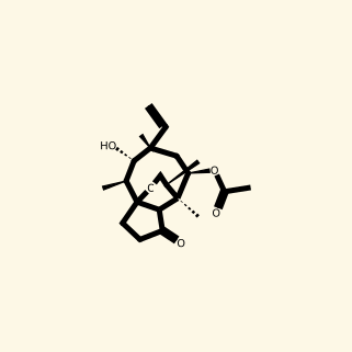 C=C[C@]1(C)C[C@@H](OC(C)=O)[C@@]2(C)C3C(=O)CCC3(CC[C@H]2C)[C@@H](C)[C@@H]1O